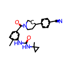 Cc1ccc(C(=O)N2CCC(c3ccc(C#N)cc3)CC2)cc1NC(=O)NC1(C)CC1